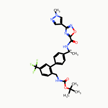 C[C@@H](NC(=O)c1nc(-c2cnn(C)c2)no1)c1ccc(-c2cc(C(F)(F)F)ccc2CNC(=O)OC(C)(C)C)cc1